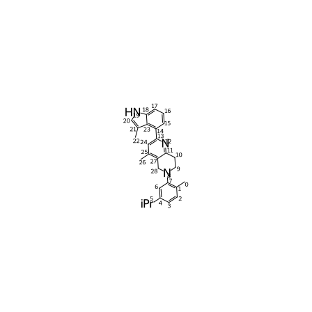 Cc1ccc(C(C)C)cc1N1CCc2nc(-c3cccc4[nH]cc(C)c34)cc(C)c2C1